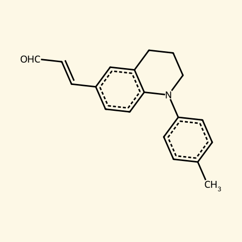 Cc1ccc(N2CCCc3cc(C=CC=O)ccc32)cc1